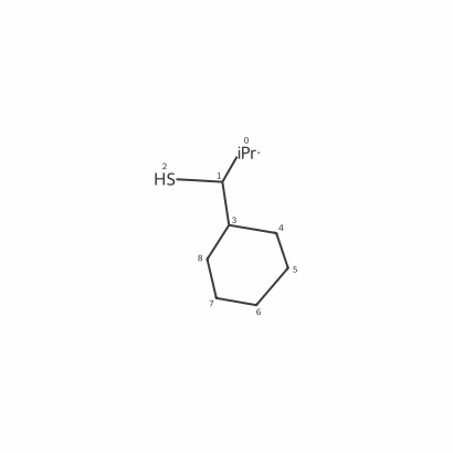 C[C](C)C(S)C1CCCCC1